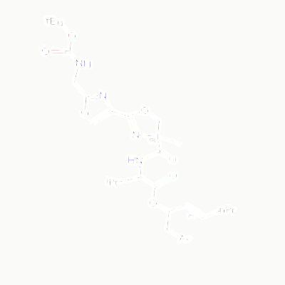 CCC/C=C/C(CC(C)=O)OC(=O)C(NC(=O)[C@]1(C)COC(c2coc(CNC(=O)OC(C)(C)C)n2)=N1)C(C)C